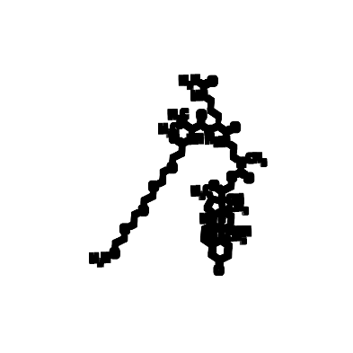 CC(C)[C@H](NC(=O)CCOCCOCCOCCOCCON)C(=O)N[C@@H](CCCNC(N)=O)C(=O)NCCN(C)C(=O)OCC(=O)[C@@]1(O)[C@H](C)C[C@H]2[C@@H]3CCC4=CC(=O)C=C[C@]4(C)[C@@]3(F)[C@@H](O)C[C@@]21C